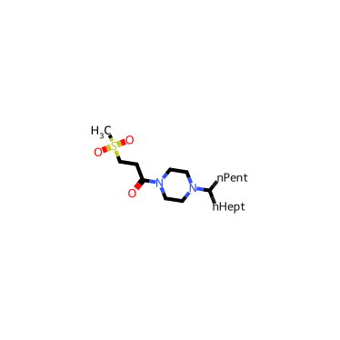 CCCCCCCC(CCCCC)N1CCN(C(=O)CCS(C)(=O)=O)CC1